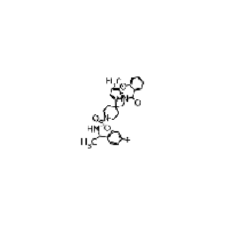 COc1ccccc1C(=O)NCC1(c2cccs2)CCN(S(=O)(=O)NC(C)c2ccc(F)cc2)CC1